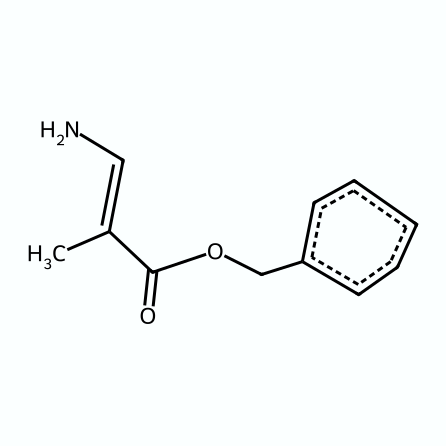 CC(=CN)C(=O)OCc1ccccc1